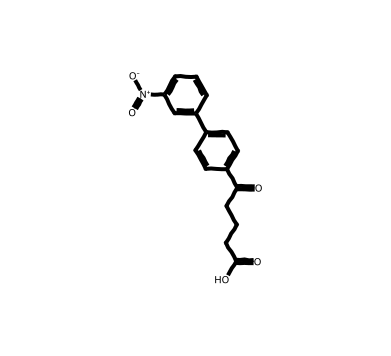 O=C(O)CCCC(=O)c1ccc(-c2cccc([N+](=O)[O-])c2)cc1